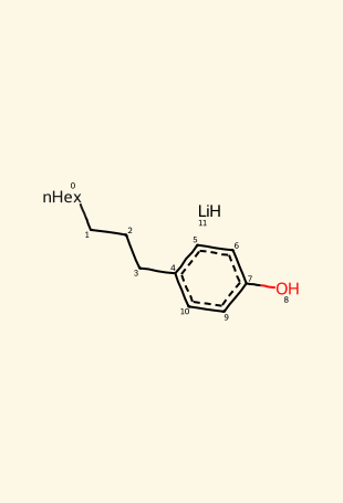 CCCCCCCCCc1ccc(O)cc1.[LiH]